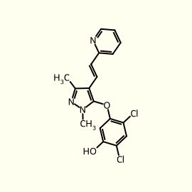 Cc1nn(C)c(Oc2cc(O)c(Cl)cc2Cl)c1C=Cc1ccccn1